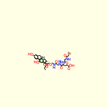 CCC(=O)O[C@]1(C(=O)COCNC(=O)CNC(=O)[C@H](CCC(=O)O)NC(=O)CNC(=O)CBr)[C@@H](C)CC2[C@@H]3CCC4=CC(O)C=C[C@]4(C)[C@@]3(Cl)[C@@H](O)C[C@@]21C